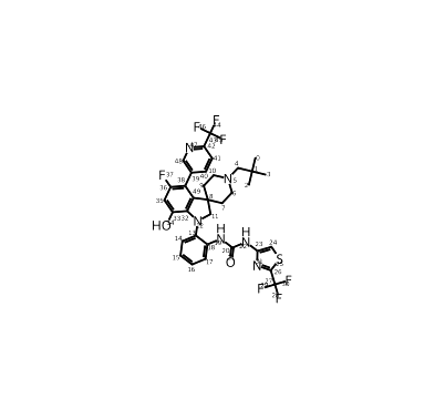 CC(C)(C)CN1CCC2(CC1)CN(c1ccccc1NC(=O)Nc1csc(C(F)(F)F)n1)c1c(O)cc(F)c(-c3ccc(C(F)(F)F)nc3)c12